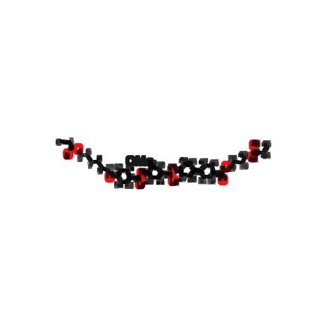 C=CC(=O)OCCCCCCOc1ccc(C(=O)Oc2ccc(C(=O)Oc3ccc(-c4ccc(C(=O)OCCCCOC(=O)C=C)cc4)cc3)cc2OC)cc1